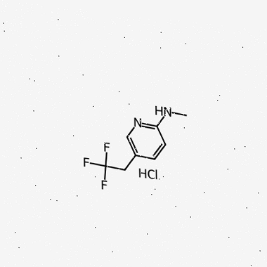 CNc1ccc(CC(F)(F)F)cn1.Cl